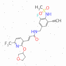 C#Cc1cc(CNC(=O)/C=C/c2ccc(C(F)(F)F)nc2OC2CCOC2)cc(F)c1NS(C)(=O)=O